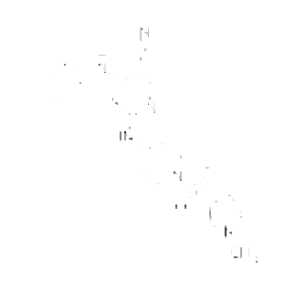 Cn1cnc(S(=O)(=O)N2CCC(Nc3ncc(C#N)c(NC4CCCC4)n3)CC2)c1